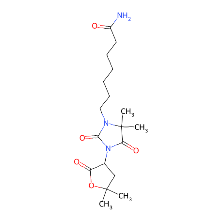 CC1(C)CC(N2C(=O)N(CCCCCCC(N)=O)C(C)(C)C2=O)C(=O)O1